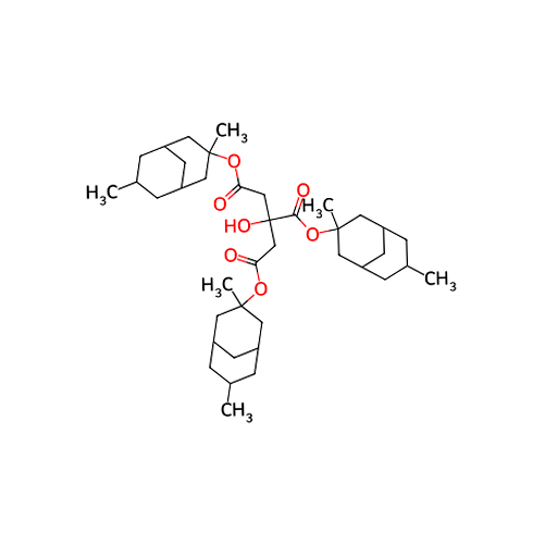 CC1CC2CC(C1)CC(C)(OC(=O)CC(O)(CC(=O)OC1(C)CC3CC(C)CC(C3)C1)C(=O)OC1(C)CC3CC(C)CC(C3)C1)C2